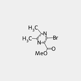 COC(=O)c1nc(C)c(C)nc1Br